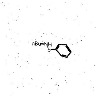 CCCCNSc1ccccc1